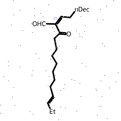 CCC=CCCCCCCCC(=O)/C([C]=O)=C\CCCCCCCCCCC